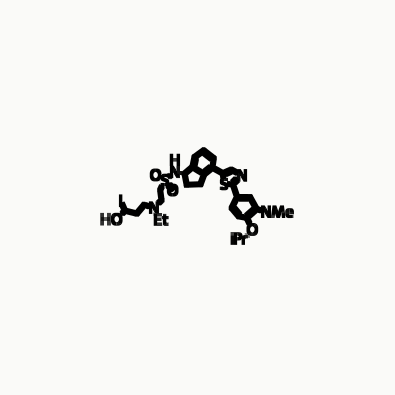 CCN(CCC(O)I)CCS(=O)(=O)N[C@H]1CCc2c(-c3cnc(-c4ccc(OC(C)C)c(NC)c4)s3)cccc21